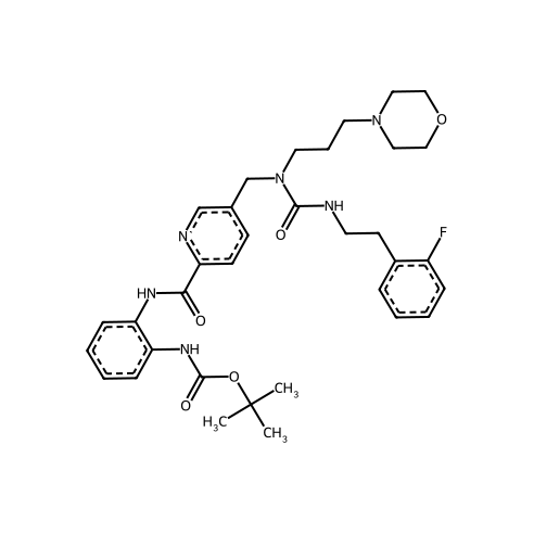 CC(C)(C)OC(=O)Nc1ccccc1NC(=O)c1ccc(CN(CCCN2CCOCC2)C(=O)NCCc2ccccc2F)cn1